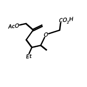 C=C(COC(C)=O)CC(CC)C(C)OCC(=O)O